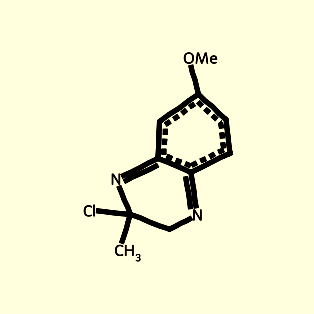 COc1ccc2c(c1)=NC(C)(Cl)CN=2